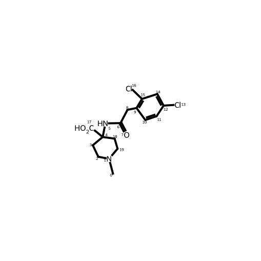 CN1CCC(NC(=O)Cc2ccc(Cl)cc2Cl)(C(=O)O)CC1